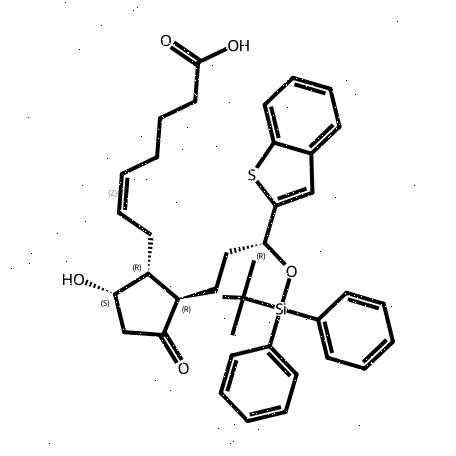 CC(C)(C)[Si](O[C@H](CC[C@H]1C(=O)C[C@H](O)[C@@H]1C/C=C\CCCC(=O)O)c1cc2ccccc2s1)(c1ccccc1)c1ccccc1